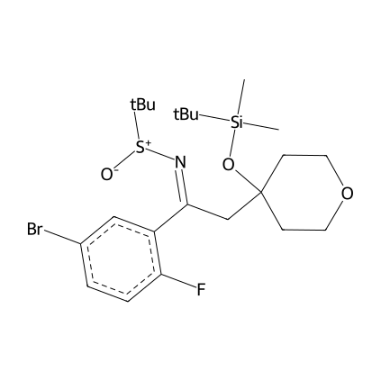 CC(C)(C)[S+]([O-])N=C(CC1(O[Si](C)(C)C(C)(C)C)CCOCC1)c1cc(Br)ccc1F